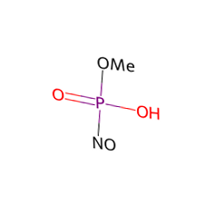 COP(=O)(O)N=O